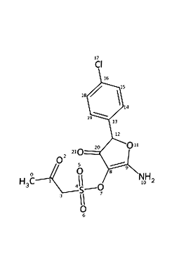 CC(=O)CS(=O)(=O)OC1=C(N)OC(c2ccc(Cl)cc2)C1=O